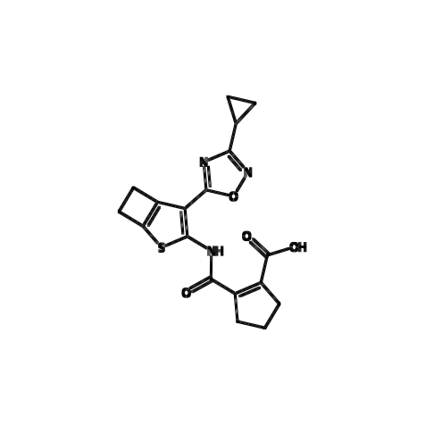 O=C(O)C1=C(C(=O)Nc2sc3c(c2-c2nc(C4CC4)no2)CC3)CCC1